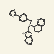 c1cnc2c(c1)CCCC2N(Cc1ccc(-c2nccs2)cc1)Cc1nc2ccccc2[nH]1